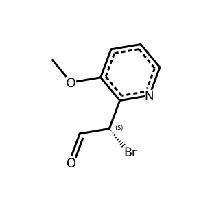 COc1cccnc1[C@H](Br)C=O